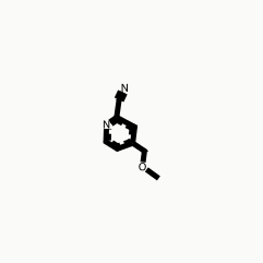 CO[CH]c1ccnc(C#N)c1